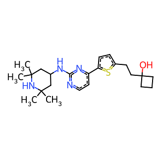 CC1(C)CC(Nc2nccc(-c3ccc(CCC4(O)CCC4)s3)n2)CC(C)(C)N1